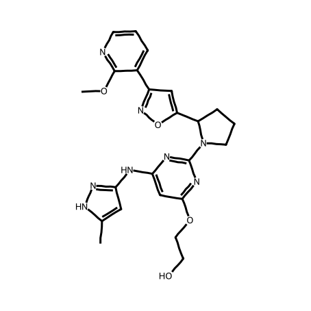 COc1ncccc1-c1cc(C2CCCN2c2nc(Nc3cc(C)[nH]n3)cc(OCCO)n2)on1